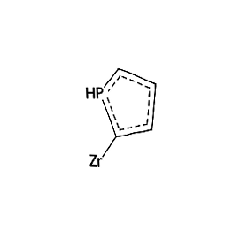 [Zr][c]1ccc[pH]1